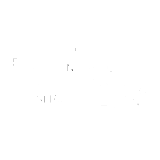 CC(=O)Nc1cc(F)cc(Cn2ccc3cc(-c4conc4C)ccc3c2=O)c1